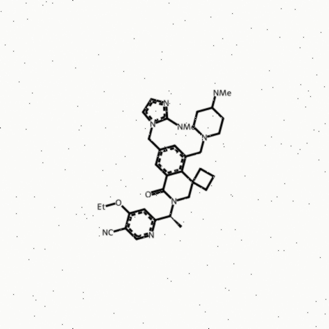 CCOc1cc([C@H](C)N2CC3(CCC3)c3c(CN4CCC(NC)CC4)cc(Cn4ccnc4NC)cc3C2=O)ncc1C#N